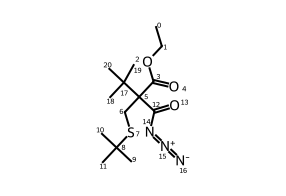 CCOC(=O)C(CSC(C)(C)C)(C(=O)N=[N+]=[N-])C(C)(C)C